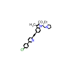 CCOC(=O)c1c(C)c2cc(C#Cc3ccc(-c4ccc(Cl)cc4)cn3)ccc2n1CCN1CCCC1